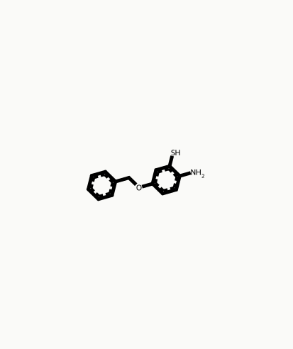 Nc1ccc(OCc2ccccc2)cc1S